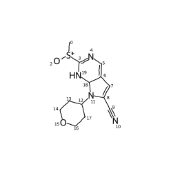 C[S+]([O-])C1=NC=C2C=C(C#N)N(C3CCOCC3)C2N1